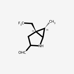 C[C@@H]1C2NC(C=O)C[C@@]21CC(F)(F)F